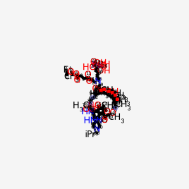 C=C(CC)OCOC(=O)CCC(=O)OCCN(CCCCC(P(=O)(O)O)P(=O)(O)O)CC(=O)O[C@@H]1[C@@H](C)[C@@H](O)[C@@H](C)[C@H](C)[C@H](C)[C@@H](C)/C=C/O[C@@]2(C)Oc3c(C)c(O)c4c(c3C2=O)C2=NC3(CCN(CC(C)C)CC3)NC2=C(NC(=O)/C(C)=C\C=C\[C@@H]1C)C4=O